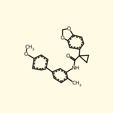 COc1ccc(-c2ccc(C)c(NC(=O)C3(c4ccc5c(c4)OCO5)CC3)c2)cc1